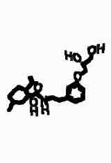 CC1CCC(C(C)C)[C@@](O)(C(=O)NCCc2cccc(OCC(O)CO)c2)C1